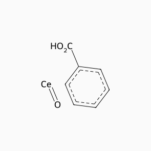 O=C(O)c1ccccc1.[O]=[Ce]